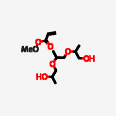 C=CC(=O)OOC.CC(O)COC(C)COC(C)CO